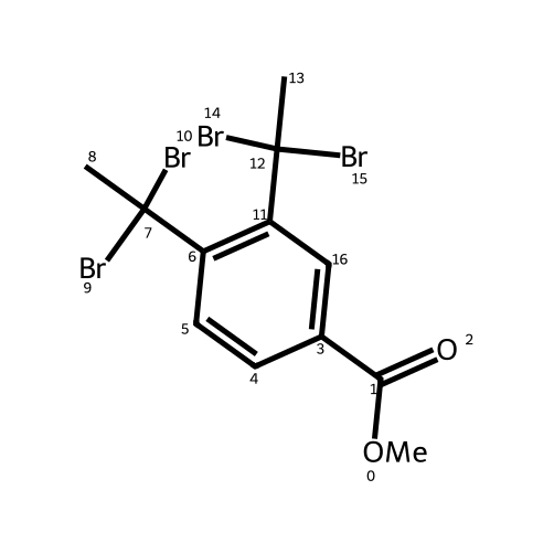 COC(=O)c1ccc(C(C)(Br)Br)c(C(C)(Br)Br)c1